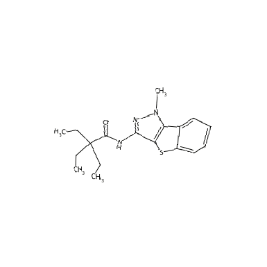 CCC(CC)(CC)C(=O)Nc1nn(C)c2c1sc1ccccc12